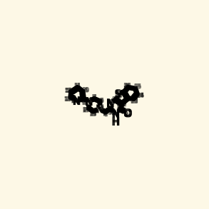 O=c1[nH]c(CN2CCN(c3ccccn3)CC2)nc2sc3c(c12)C=CCC3